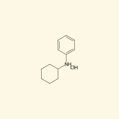 Cl.c1ccc(NC2CCCCC2)cc1